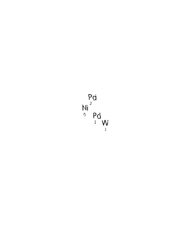 [Ni].[Pd].[Pd].[W]